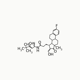 CC(C)(C)c1cc(NC(=O)CC[C@@H]2/C(=C/O)C(=O)[C@@]3(C)CCC4c5ccc(F)cc5CCC4C23)no1